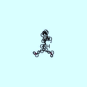 CC1C(=O)N(CCCC(=O)ON2C(=O)CCC2=O)C(=O)C1C(CSCCNC(=O)c1cc(OCc2ccc(C(=O)c3ccccc3)cc2)cc(OCc2ccc(C(=O)c3ccccc3)cc2)c1)C(N)=O